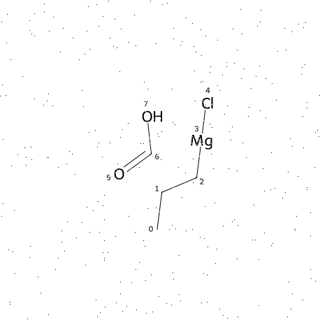 CC[CH2][Mg][Cl].O=CO